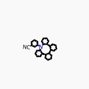 N#Cc1cccc(-n2c3ccccc3c3ccccc3c3ccccc3c3ccccc32)c1